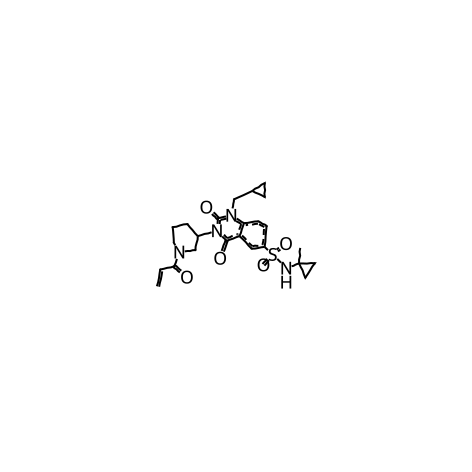 C=CC(=O)N1CCCC(n2c(=O)c3cc(S(=O)(=O)NC4(C)CC4)ccc3n(CC3CC3)c2=O)C1